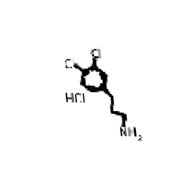 Cl.NCCCc1ccc(Cl)c(Cl)c1